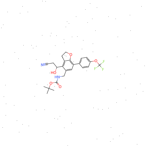 CC(C)(C)OC(=O)NCc1cc(-c2ccc(OC(F)(F)F)cc2)c2c(c1C(O)CC#N)CCO2